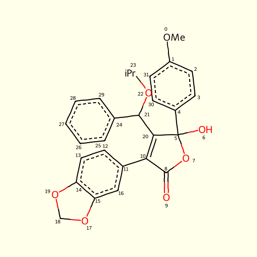 COc1ccc(C2(O)OC(=O)C(c3ccc4c(c3)OCO4)=C2C(OC(C)C)c2ccccc2)cc1